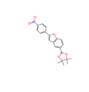 CC1(C)OB(c2ccc3oc(-c4ccc([N+](=O)[O-])cc4)cc3c2)OC1(C)C